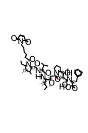 CCC1[C@@H](C)C(C)[C@@H](C(=O)N[C@H](C(=O)N(C)[C@@H]([C@@H](C)CC)[C@@H](CC(=O)N2CCC[C@H]2[C@H](OC)[C@@H](C)C(=O)N[C@@H](Cc2ccccc2)C(=O)O)OC)C(C)C)N1C(=O)CCCCCN1C(=O)C=CC1=O